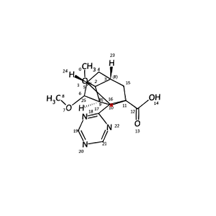 COC1[C@@H]2C[C@H]3C(OC)[C@@H]1CC(C(=O)O)(C2)C3c1ncncn1